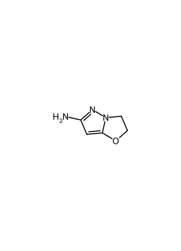 Nc1cc2n(n1)CCO2